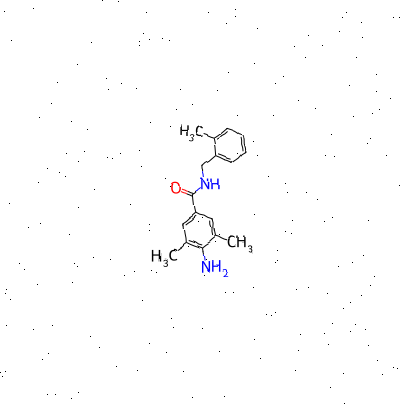 Cc1ccccc1CNC(=O)c1cc(C)c(N)c(C)c1